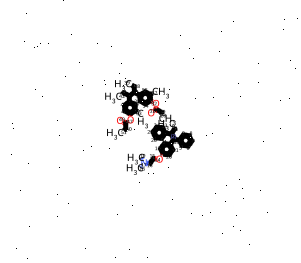 CC/C(=C(\c1ccccc1)c1ccc(OCCN(C)C)cc1)c1ccccc1.CCC(=O)Oc1ccc(C(CC)C(CC)c2ccc(OC(=O)CC)c(C)c2)cc1C